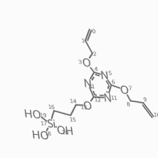 C=CCOc1nc(OCC=C)nc(OCCC[Si](O)(O)O)n1